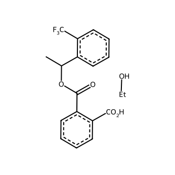 CC(OC(=O)c1ccccc1C(=O)O)c1ccccc1C(F)(F)F.CCO